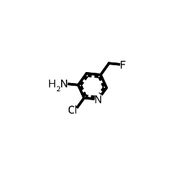 Nc1cc(CF)cnc1Cl